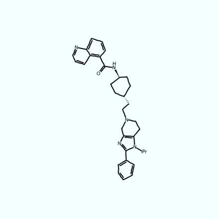 CC(C)n1c(-c2ccccc2)nc2c1CCN(CC[C@H]1CC[C@H](NC(=O)c3cccc4ncccc34)CC1)C2